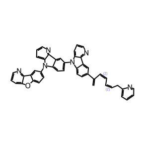 C=C(/C=C\C=C/Cc1ccccn1)c1ccc2c(c1)c1ncccc1n2-c1ccc2c(c1)c1ncccc1n2-c1ccc2oc3cccnc3c2c1